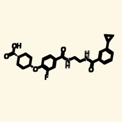 O=C(NCCNC(=O)c1ccc(O[C@H]2CC[C@@H](C(=O)O)CC2)c(F)c1)c1cccc(C2CC2)c1